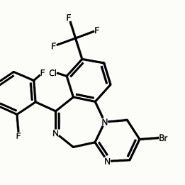 Fc1cccc(F)c1C1=NCC2=NC=C(Br)CN2c2ccc(C(F)(F)F)c(Cl)c21